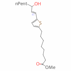 CCCCCC(O)/C=C/c1ccc(CCCCCCCC(=O)OC)s1